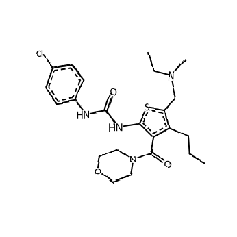 CCCc1c(CN(C)CC)sc(NC(=O)Nc2ccc(Cl)cc2)c1C(=O)N1CCOCC1